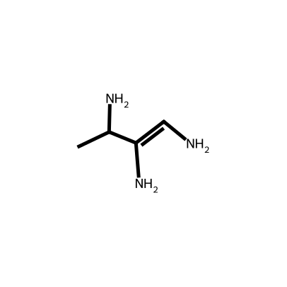 CC(N)C(N)=CN